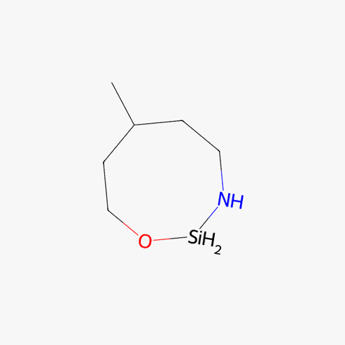 CC1CCN[SiH2]OCC1